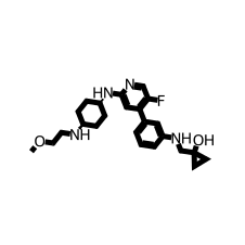 COCCN[C@H]1CC[C@H](Nc2cc(-c3cccc(NCC4(O)CC4)c3)c(F)cn2)CC1